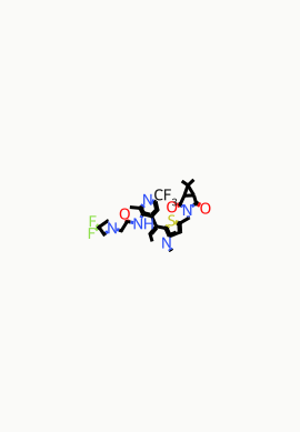 C=Nc1cc(CN2C(=O)C3C(C2=O)C3(C)C)sc1/C(=C\C)c1cc(C(F)(F)F)nc(C)c1NC(=O)CN1CC(F)(F)C1